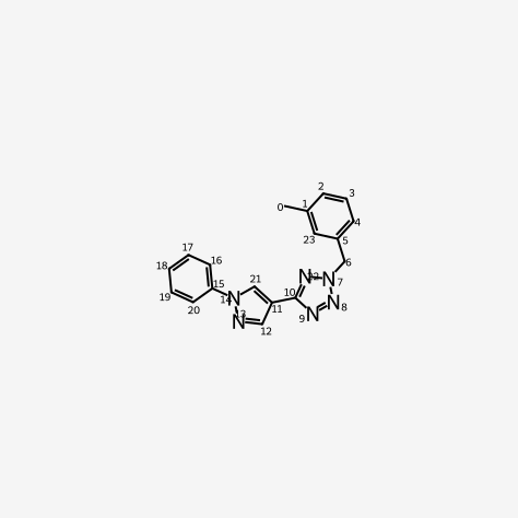 Cc1cccc(Cn2nnc(-c3cnn(-c4ccccc4)c3)n2)c1